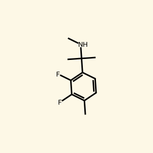 CNC(C)(C)c1ccc(C)c(F)c1F